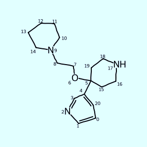 c1cncc(C2(OCCN3CCCCC3)CCNCC2)c1